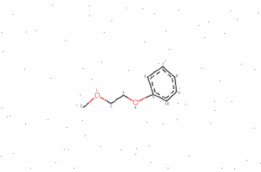 COCCOc1c[c]ccc1